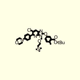 Cc1ccc(Oc2nc3cc(Cl)c(-c4ccc(N5CCOCC5)cc4)nc3n2COCC[Si](C)(C)C)cc1C(=O)OC(C)(C)C